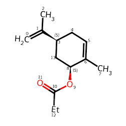 C=C(C)[C@H]1CC=C(C)[C@@H](OC(=O)CC)C1